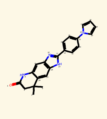 CC1(C)CC(=O)Nc2cc3nc(-c4ccc(-n5cccc5)cc4)[nH]c3cc21